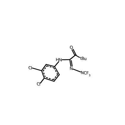 CC(C)(C)C(=O)C(=NNC(F)(F)F)Nc1ccc(Cl)c(Cl)c1